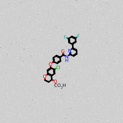 O=C(O)OC1CCOc2cc(Oc3ccc(C(=O)Nc4cccc(-c5cc(F)cc(F)c5)n4)cc3)c(Cl)cc21